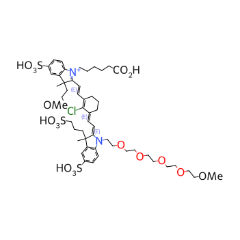 COCCOCCOCCOCCOCCN1/C(=C/C=C2\CCCC(/C=C/C3=[N+](CCCCCC(=O)O)c4ccc(S(=O)(=O)O)cc4C3(C)CCOC)=C2Cl)C(C)(CCCS(=O)(=O)O)c2cc(S(=O)(=O)O)ccc21